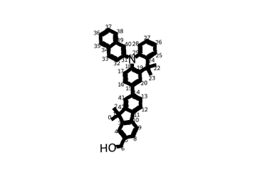 CC1(C)c2cc(CO)ccc2-c2ccc(-c3ccc4c(c3)C(C)(C)c3ccccc3N4c3ccc4ccccc4c3)cc21